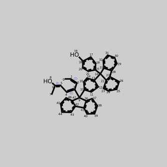 C\C=C/C(=C\C=C(/C)O)C1(c2ccc(C3(c4ccc(O)cc4)c4ccccc4-c4ccccc43)cc2)c2ccccc2-c2ccccc21